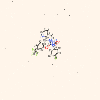 O=C(N1CCc2cccnc2C1c1ccc(C(F)(F)F)cc1)[NH+]([O-])c1ccc(F)cc1